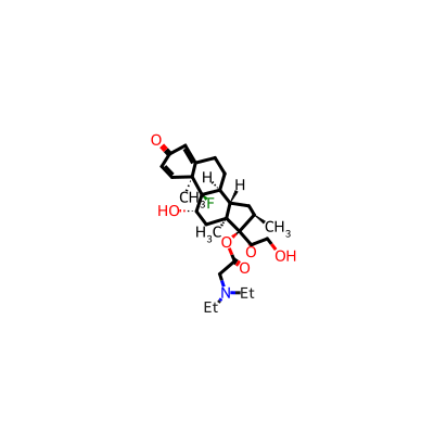 CCN(CC)CC(=O)O[C@]1(C(=O)CO)[C@H](C)C[C@H]2[C@@H]3CCC4=CC(=O)C=C[C@]4(C)[C@@]3(F)[C@@H](O)C[C@@]21C